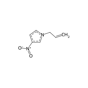 C=CCn1ccc([N+](=O)[O-])c1